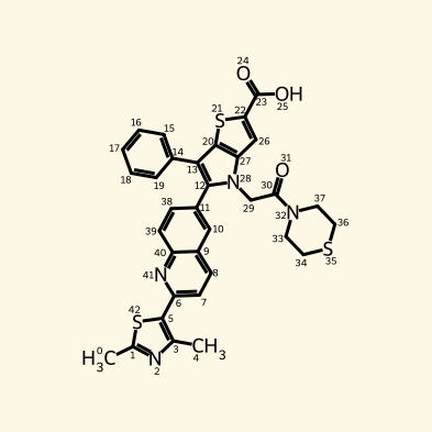 Cc1nc(C)c(-c2ccc3cc(-c4c(-c5ccccc5)c5sc(C(=O)O)cc5n4CC(=O)N4CCSCC4)ccc3n2)s1